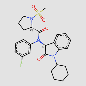 CS(=O)(=O)N1CCC[C@H]1C(=O)N(c1cccc(F)c1)[C@@H]1C(=O)N(C2CCCCC2)c2ccccc21